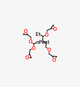 CCC(CCCOCC1CO1)OCC1CO1.CCCCCC(OCC1CO1)OCC1CO1